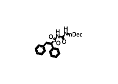 CCCCCCCCCCNC(=O)NS(=O)(=O)/C(=C/c1ccccc1)c1ccccc1